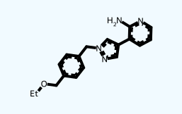 CCOCc1ccc(Cn2cc(-c3cccnc3N)cn2)cc1